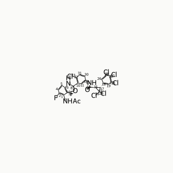 CC(=O)Nc1c(F)ccc(NC(=O)c2cc(NC(=O)[C@H]3[C@H](c4cc(Cl)c(Cl)c(Cl)c4)C3(Cl)Cl)ccc2Cl)c1F